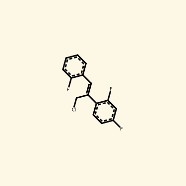 Fc1ccc(C(=Cc2ccccc2F)CCl)c(F)c1